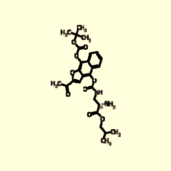 CC(=O)c1cc2c(OC(=O)NC[C@H](N)C(=O)OCC(C)C)c3ccccc3c(OC(=O)OC(C)(C)C)c2o1